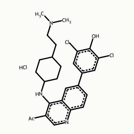 CC(=O)c1cnc2ccc(-c3cc(Cl)c(O)c(Cl)c3)cc2c1NC1CCC(CCN(C)C)CC1.Cl